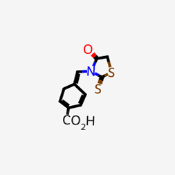 O=C(O)C1=CCC(=CN2C(=O)CSC2=S)C=C1